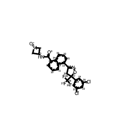 O=C(NC1C[S+]([O-])C1)c1cccc2c(C3=NOC(c4cc(Cl)cc(Cl)c4)(C(F)(F)F)C3)cccc12